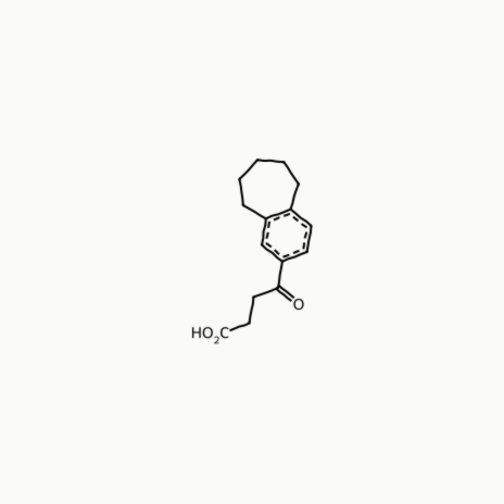 O=C(O)CCC(=O)c1ccc2c(c1)CCCCC2